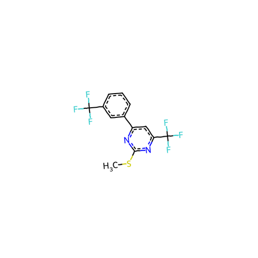 CSc1nc(-c2cccc(C(F)(F)F)c2)cc(C(F)(F)F)n1